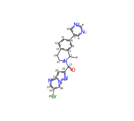 CC1c2cc(-c3cncnc3)ccc2CCN1C(=O)c1cc2ncc(Br)cn2n1